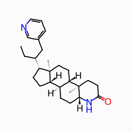 CCC(Cc1cccnc1)[C@H]1CC[C@H]2[C@@H]3CC[C@H]4NC(=O)CC[C@]4(C)[C@H]3CC[C@]12C